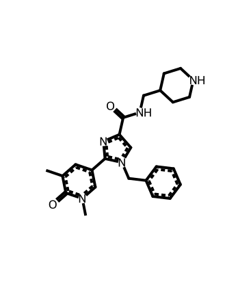 Cc1cc(-c2nc(C(=O)NCC3CCNCC3)cn2Cc2ccccc2)cn(C)c1=O